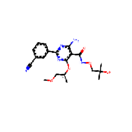 COC[C@H](C)Oc1nc(-c2cccc(C#N)c2)nc(N)c1C(=O)NOCC(C)(C)O